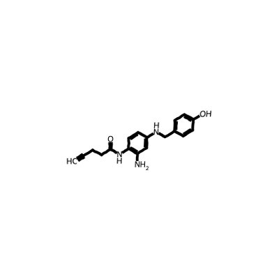 C#CCCC(=O)Nc1ccc(NCc2ccc(O)cc2)cc1N